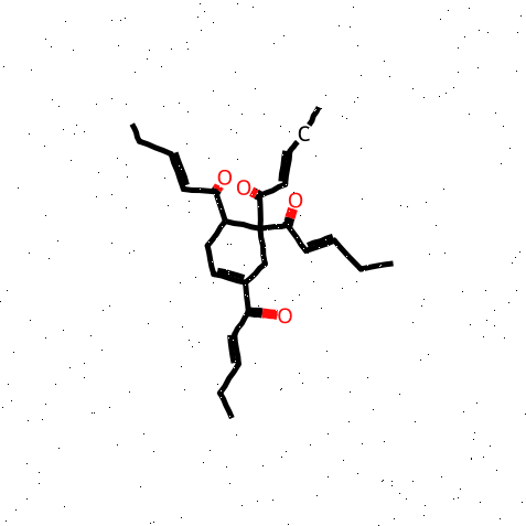 CCC=CC(=O)C1=CCC(C(=O)C=CCC)C(C(=O)C=CCC)(C(=O)C=CCC)C1